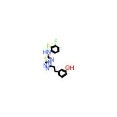 Oc1cccc(CCc2nnc3sc(Nc4cccc(F)c4F)nn23)c1